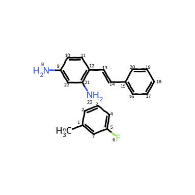 Cc1cccc(F)c1.Nc1ccc(C=Cc2ccccc2)c(N)c1